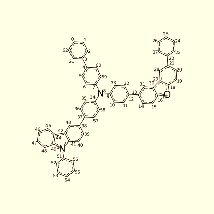 c1ccc(-c2ccc(N(c3ccc(-c4ccc5oc6ccc(-c7ccccc7)cc6c5c4)cc3)c3ccc(-c4ccc5c(c4)c4ccccc4n5-c4ccccc4)cc3)cc2)cc1